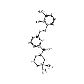 Cc1cccc(SCc2cccc(C(=O)N3CCCC(C)(C)C3)n2)c1Cl